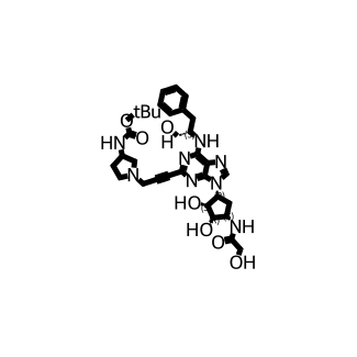 CC(C)(C)OC(=O)NC1CCN(CC#Cc2nc(N[C@H](CO)Cc3ccccc3)c3ncn([C@@H]4C[C@H](NC(=O)CO)[C@@H](O)[C@H]4O)c3n2)C1